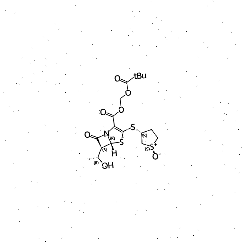 C[C@@H](O)[C@H]1C(=O)N2C(C(=O)OCOC(=O)C(C)(C)C)=C(S[C@@H]3CC[S@@+]([O-])C3)S[C@H]12